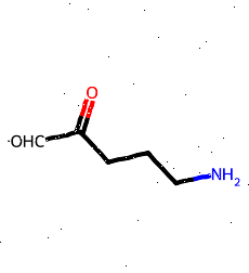 NCCCC(=O)[C]=O